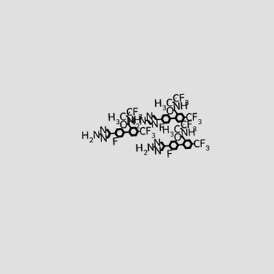 C[C@@H](NC(=O)c1cc(C(F)(F)F)ccc1-c1ccc(-c2cnc(N)cn2)c(F)c1)C(F)(F)F.C[C@@H](NC(=O)c1cc(C(F)(F)F)ccc1-c1ccc(-c2cnc(N)nc2)c(F)c1)C(F)(F)F.C[C@H](NC(=O)c1cc(C(F)(F)F)ccc1-c1ccc(-c2cnc(N)nc2)c(F)c1)C(F)(F)F